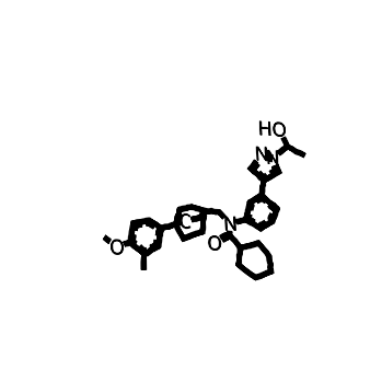 COc1ccc(C23CCC(CN(C(=O)C4CCCCC4)c4cccc(-c5cnn(C(C)O)c5)c4)(CC2)CC3)cc1C